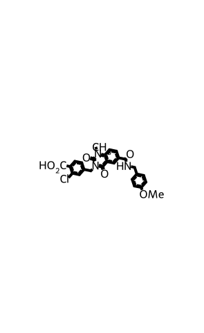 COc1ccc(CNC(=O)c2ccc3c(c2)c(=O)n(Cc2ccc(C(=O)O)c(Cl)c2)c(=O)n3C)cc1